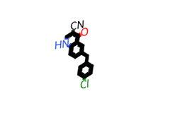 N#Cc1c[nH]c2ccc(Cc3ccc(Cl)cc3)cc2c1=O